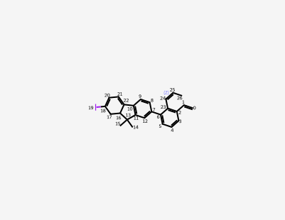 C=Cc1cccc(-c2ccc3c(c2)C(C)(C)C2CC(I)=CC=C32)c1/C=C\C